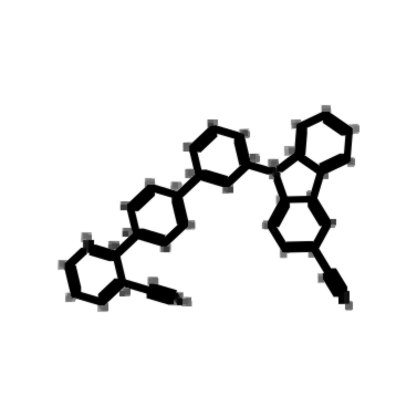 N#Cc1ccc2c(c1)c1ccccc1n2-c1cccc(-c2ccc(-c3ncccc3C#N)cc2)c1